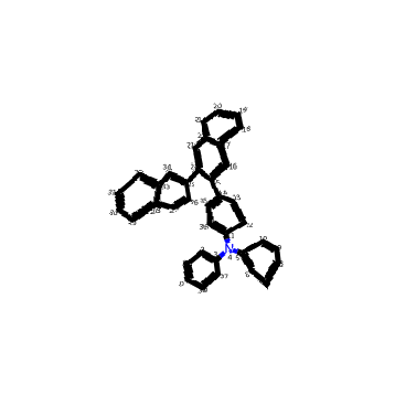 c1ccc(N(c2ccccc2)c2ccc(-c3cc4ccccc4cc3-c3ccc4ccccc4c3)cc2)cc1